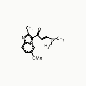 COc1ccc2nc(C)c(C(=O)/C=C/N(C)C)n2c1